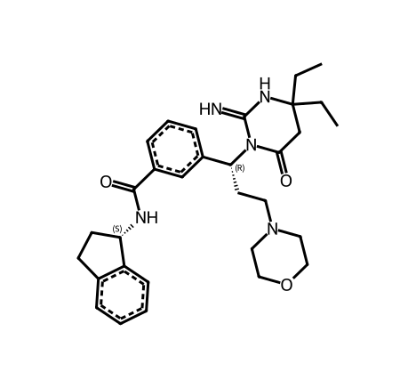 CCC1(CC)CC(=O)N([C@H](CCN2CCOCC2)c2cccc(C(=O)N[C@H]3CCc4ccccc43)c2)C(=N)N1